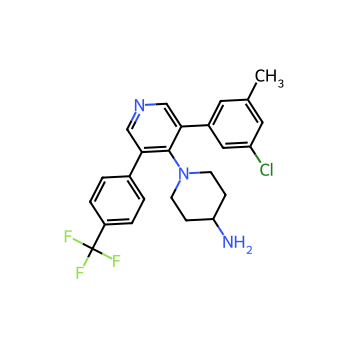 Cc1cc(Cl)cc(-c2cncc(-c3ccc(C(F)(F)F)cc3)c2N2CCC(N)CC2)c1